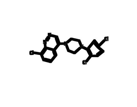 Clc1ccc(Cl)c(N2CCN(c3cnnc4c(Cl)cccc34)CC2)c1